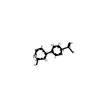 C=C(C)c1ccc(-c2ccnc(C)c2)cc1